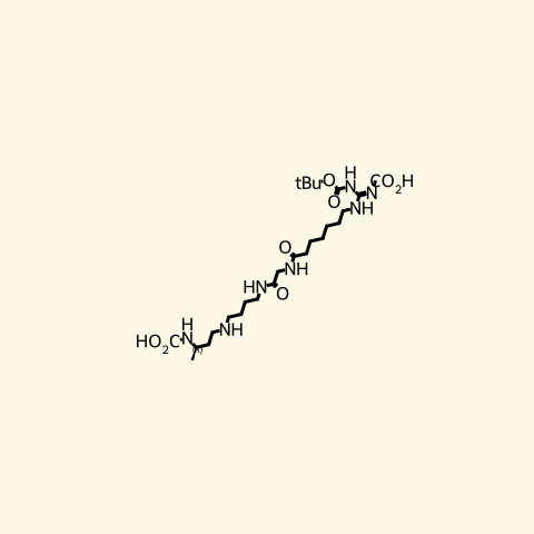 C[C@H](CCNCCCCNC(=O)CNC(=O)CCCCCCNC(=NC(=O)O)NC(=O)OC(C)(C)C)NC(=O)O